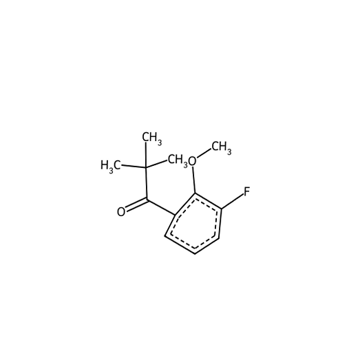 COc1c(F)cccc1C(=O)C(C)(C)C